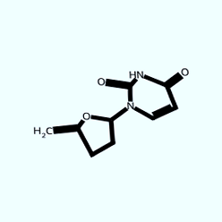 C=C1CCC(n2ccc(=O)[nH]c2=O)O1